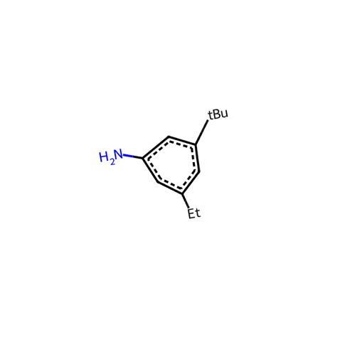 CCc1cc(N)cc(C(C)(C)C)c1